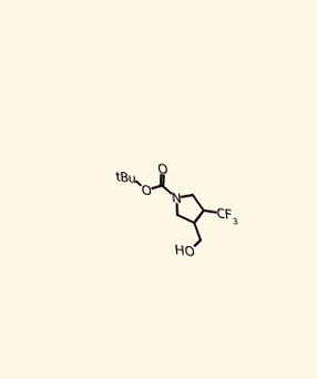 CC(C)(C)OC(=O)N1CC(CO)C(C(F)(F)F)C1